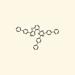 c1ccc(-c2ccc(-c3nc(-c4ccc(-c5ccccc5)cc4)nc(-c4cccc5oc6c(-c7ccc(-c8ccccc8)cc7)nccc6c45)n3)cc2)cc1